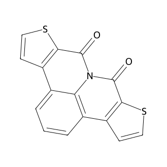 O=c1c2sccc2c2cccc3c4ccsc4c(=O)n1c23